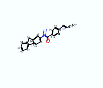 CCC/C=C/c1ccc(C(=O)Nc2ccc3c(c2)Cc2ccccc2-3)cc1